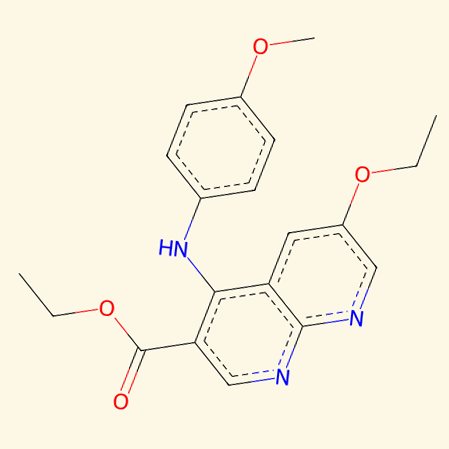 CCOC(=O)c1cnc2ncc(OCC)cc2c1Nc1ccc(OC)cc1